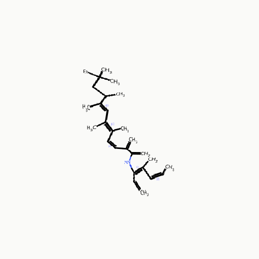 C=C/C(NC(=C)C(=C)\C=C/C(C)=C(C)/C=C(\C)C(C)CC(C)(C)CC)=C(C)\C=C/C